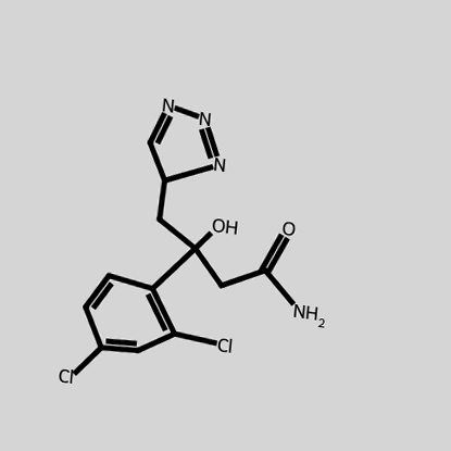 NC(=O)CC(O)(CC1C=NN=N1)c1ccc(Cl)cc1Cl